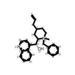 C=CCC1CC[N+](C)(Cc2ccccc2)C([C@H](O)c2ccnc3ccccc23)C1